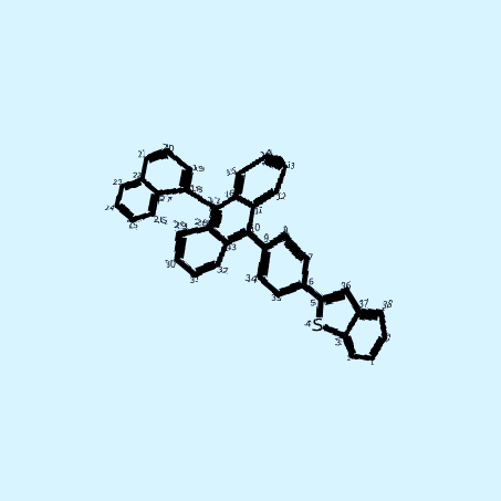 c1ccc2sc(-c3ccc(-c4c5ccccc5c(-c5cccc6ccccc56)c5ccccc45)cc3)cc2c1